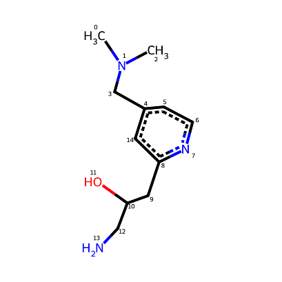 CN(C)Cc1ccnc(CC(O)CN)c1